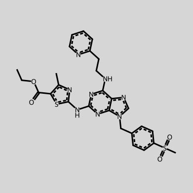 CCOC(=O)c1sc(Nc2nc(NCCc3ccccn3)c3ncn(Cc4ccc(S(C)(=O)=O)cc4)c3n2)nc1C